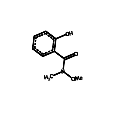 CON(C)C(=O)c1ccccc1O